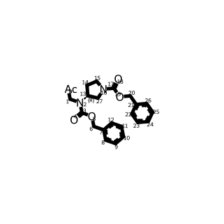 CC(=O)CN(C(=O)OCc1ccccc1)[C@@H]1CCN(C(=O)OCc2ccccc2)C1